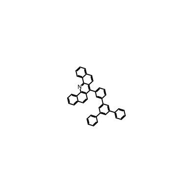 c1ccc(-c2cc(-c3ccccc3)cc(-c3cccc(-c4c5ccc6ccccc6c5nc5c4ccc4ccccc45)c3)c2)cc1